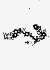 CCCN(CCc1ccc(OCCCc2sc(N3CCc4cccc(C(=O)Nc5nc6ccccc6s5)c4C3)nc2C(=O)O)cc1)CC1CCCc2c1ccc(OC)c2OC